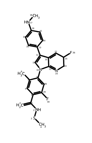 C=C(NSC)c1cc(C)c(-n2cc(-c3ccc(NC)cc3)c3c2=NCC(F)C=3)cc1F